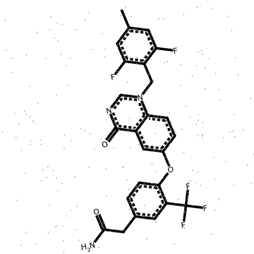 Cc1cc(F)c(Cn2cnc(=O)c3cc(Oc4ccc(CC(N)=O)cc4C(F)(F)F)ccc32)c(F)c1